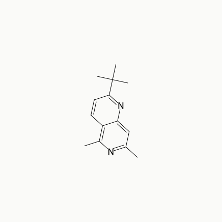 Cc1cc2nc(C(C)(C)C)ccc2c(C)n1